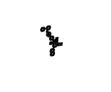 O=C(Nc1ccc(N2CCN(Cc3ccccc3-c3ccccc3)CC2)cc1)c1cc(-c2ccc3ccccc3c2)cc(O)c1O